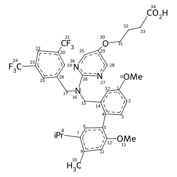 COc1ccc(-c2cc(C(C)C)c(C)cc2OC)c(CN(Cc2cc(C(F)(F)F)cc(C(F)(F)F)c2)c2ncc(OCCCC(=O)O)cn2)c1